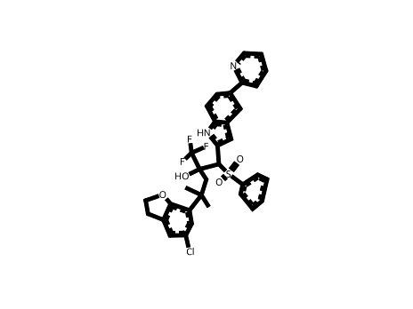 CC(C)(CC(O)(C(c1cc2cc(-c3ccccn3)ccc2[nH]1)S(=O)(=O)c1ccccc1)C(F)(F)F)c1cc(Cl)cc2c1OCC2